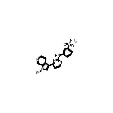 CC(C)n1cc(-c2ccnc(Nc3cccc(S(N)(=O)=O)c3)n2)c2ccncc21